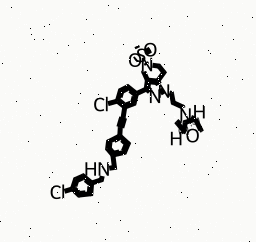 CS(=O)(=O)N1CCc2c(c(-c3ccc(Cl)c(C#Cc4ccc(CNCc5ccc(Cl)cc5)cc4)c3)nn2CCCN2C[C@@H]3C[C@H]2CO3)C1